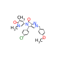 COc1ccc(Cn2cc3c(n2)C(=O)N(c2cc(C)c(=O)n(C)c2)C3c2ccc(Cl)cc2)cc1